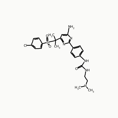 CN(C)CCNC(=O)Nc1ccc(-c2nc(N)cc(C(C)(C)S(=O)(=O)c3ccc(Cl)cc3)n2)cc1